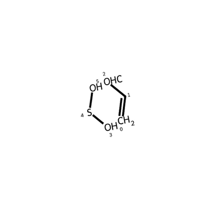 C=CC=O.OSO